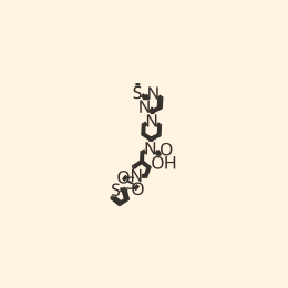 CSc1nccc(N2CCC(N(CC3CCN(S(=O)(=O)c4cccs4)C3)C(=O)O)CC2)n1